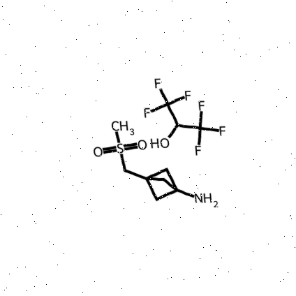 CS(=O)(=O)CC12CC(N)(C1)C2.OC(C(F)(F)F)C(F)(F)F